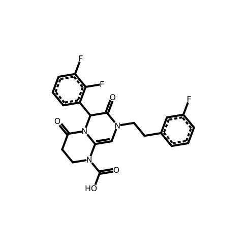 O=C1C(c2cccc(F)c2F)N2C(=O)CCN(C(=O)O)C2=CN1CCc1cccc(F)c1